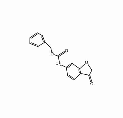 O=C(Nc1ccc2c(c1)OCC2=O)OCc1ccccc1